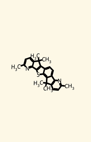 Cc1ccc2c(n1)-c1ccc3c4c(sc3c1C2(C)C)-c1nc(C)ccc1C4(C)C